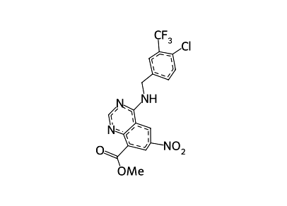 COC(=O)c1cc([N+](=O)[O-])cc2c(NCc3ccc(Cl)c(C(F)(F)F)c3)ncnc12